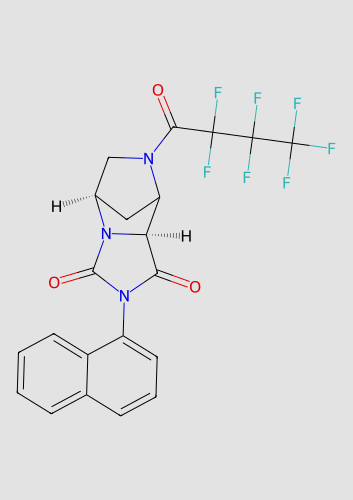 O=C1[C@@H]2C3C[C@H](CN3C(=O)C(F)(F)C(F)(F)C(F)(F)F)N2C(=O)N1c1cccc2ccccc12